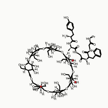 CCN(C(=O)CNC(=O)[C@@H](C)NC(=O)[C@@H](N)Cc1ccc(O)cc1)C(Cc1ccccc1)C(=O)NCC(=O)NC(C)C.OC[C@H]1O[C@@H]2O[C@H]3[C@H](O)[C@@H](O)[C@@H](O[C@H]4[C@H](O)[C@@H](O)[C@@H](O[C@H]5[C@H](O)[C@@H](O)[C@@H](O[C@H]6[C@H](O)[C@@H](O)[C@@H](O[C@H]7[C@H](O)[C@@H](O)[C@@H](O[C@H]8[C@H](O)[C@@H](O)[C@@H](O[C@H]1[C@H](O)[C@H]2O)O[C@@H]8CO)O[C@@H]7CO)O[C@@H]6CO)O[C@@H]5CO)O[C@@H]4CO)O[C@@H]3CO